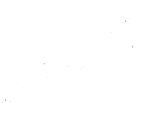 C=CCC(O)CCOc1ccc(C#N)c(C(F)(F)F)c1